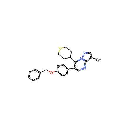 N#Cc1cnn2c(C3CCSCC3)c(-c3ccc(OCc4ccccc4)cc3)cnc12